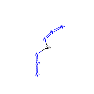 [N-]=[N+]=N[Se]N=[N+]=[N-]